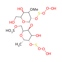 COC1[C@H](O)C(CO)O[C@@H](O[C@@H]2C(COS(=O)(=O)O)O[C@@H](C)[C@@H](OSOOO)C2O)[C@H]1OSOOO